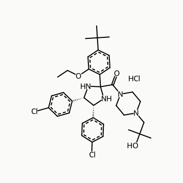 CCOc1cc(C(C)(C)C)ccc1C1(C(=O)N2CCN(CC(C)(C)O)CC2)N[C@H](c2ccc(Cl)cc2)[C@H](c2ccc(Cl)cc2)N1.Cl